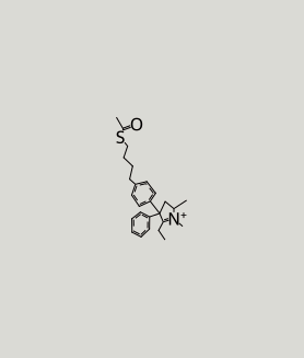 CCC1=[N+](C)C(C)CC1(c1ccccc1)c1ccc(CCCCSC(C)=O)cc1